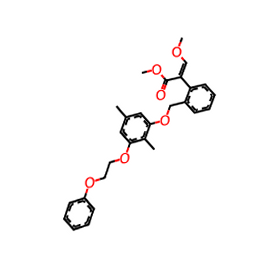 CO/C=C(\C(=O)OC)c1ccccc1COc1cc(C)cc(OCCOc2ccccc2)c1C